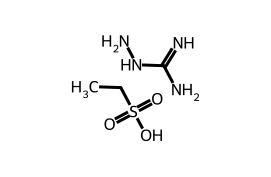 CCS(=O)(=O)O.N=C(N)NN